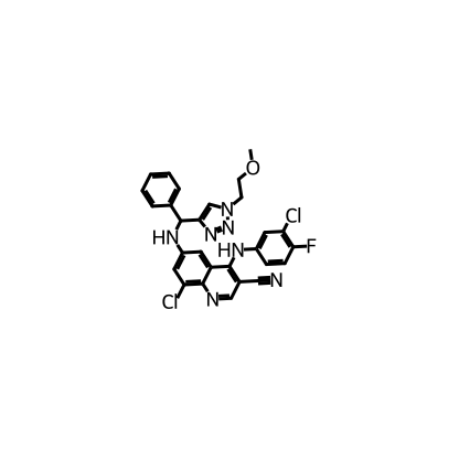 COCCn1cc(C(Nc2cc(Cl)c3ncc(C#N)c(Nc4ccc(F)c(Cl)c4)c3c2)c2ccccc2)nn1